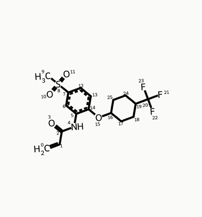 C=CC(=O)Nc1cc(S(C)(=O)=O)ccc1OC1CCC(C(F)(F)F)CC1